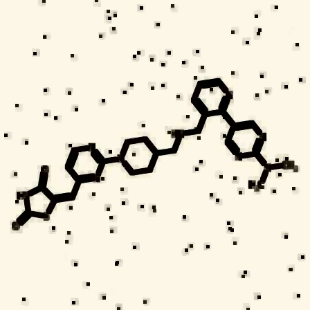 CN(C)c1ncc(-c2ncccc2CNCC2CCN(c3nccc(C=C4SC(=O)NC4=O)n3)CC2)cn1